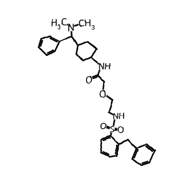 CN(C)C(c1ccccc1)C1CCC(NC(=O)COCCNS(=O)(=O)c2ccccc2Cc2ccccc2)CC1